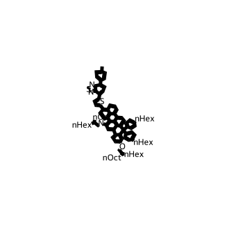 CCCCCCCCC(CCCCCC)COc1ccc2c(c1)C(c1ccc(CCCCCC)cc1)(c1ccc(CCCCCC)cc1)c1ccc3c4cccc5c(-c6ccc(-c7ccc(-c8ccc(C)cc8)c8nsnc78)s6)cc6c(c54)c4c3c1c-2cc4n6CC(CCCCCC)CCCCCCCC